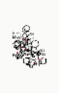 CCO[Si](OCC)(OCC)C1(C(S)(S)C(S)(S)C2CCCC(C(S)(S)C(S)(S)C3([Si](OCC)(OCC)OCC)CC4CCC3C4)(C(S)(S)C(S)(S)C3([Si](OCC)(OCC)OCC)CC4CCC3C4)C2(C(S)(S)C(S)(S)C2([Si](OCC)(OCC)OCC)CC3CCC2C3)C(S)(S)C(S)(S)C2([Si](OCC)(OCC)OCC)CC3CCC2C3)CC2CCC1C2